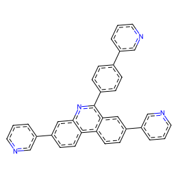 c1cncc(-c2ccc(-c3nc4cc(-c5cccnc5)ccc4c4ccc(-c5cccnc5)cc34)cc2)c1